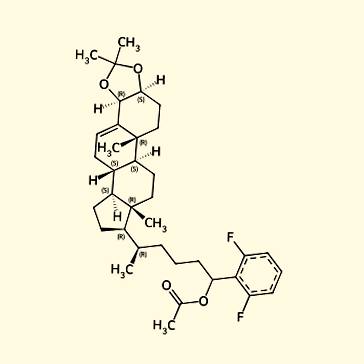 CC(=O)OC(CCC[C@@H](C)[C@H]1CC[C@H]2[C@@H]3CC=C4[C@H]5OC(C)(C)O[C@H]5CC[C@]4(C)[C@H]3CC[C@]12C)c1c(F)cccc1F